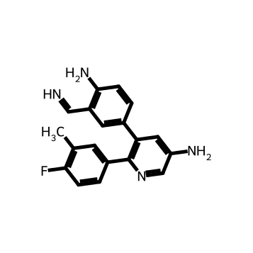 Cc1cc(-c2ncc(N)cc2-c2ccc(N)c(C=N)c2)ccc1F